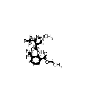 CCOC(=O)c1cccc(C(F)(F)F)c1NC(=O)c1cn(C)nc1C(F)(F)F